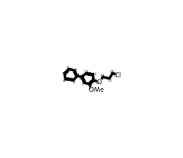 COc1cc(-c2cc[c]cc2)ccc1OCCCCl